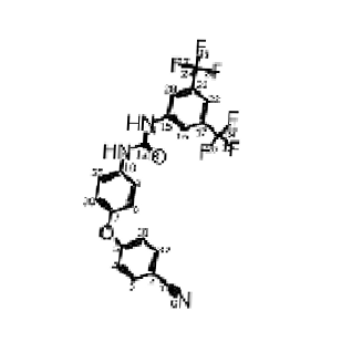 N#Cc1ccc(Oc2ccc(NC(=O)Nc3cc(C(F)(F)F)cc(C(F)(F)F)c3)cc2)cc1